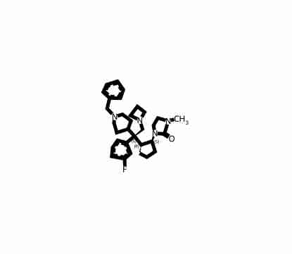 CN1CCN([C@H]2CCC[C@@H]2[C@](CN2CCC2)(c2cccc(F)c2)C2CCN(Cc3ccccc3)CC2)C1=O